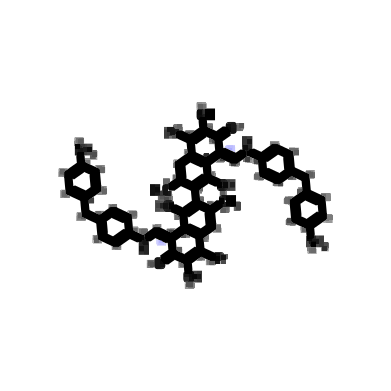 Cc1cc2c(c(O)c1-c1c(C)cc3c(c1O)/C(=C/Nc1ccc(Cc4ccc(N)cc4)cc1)C(=O)C(O)=C3C(C)C)/C(=C/Nc1ccc(Cc3ccc(N)cc3)cc1)C(=O)C(O)=C2C(C)C